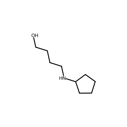 OCCCCNC1CCCC1